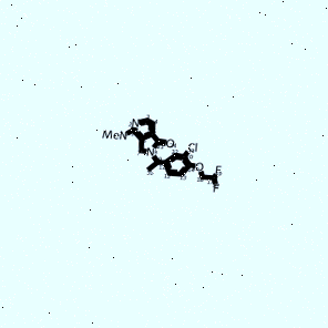 CNc1nccc2c1CN(C(C)c1ccc(OCC(F)F)c(Cl)c1)C2=O